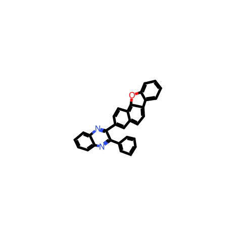 c1ccc(-c2nc3ccccc3nc2-c2ccc3c(ccc4c5ccccc5oc34)c2)cc1